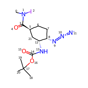 CN(I)C(=O)[C@H]1CC[C@H](N=[N+]=[N-])[C@H](NC(=O)OC(C)(C)C)C1